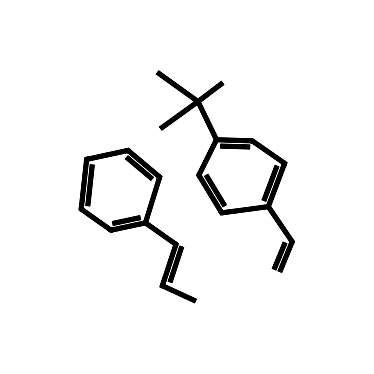 C=Cc1ccc(C(C)(C)C)cc1.CC=Cc1ccccc1